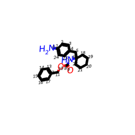 Nc1ccc(CC2(NC(=O)OCc3ccccc3)CCCCC2)cc1